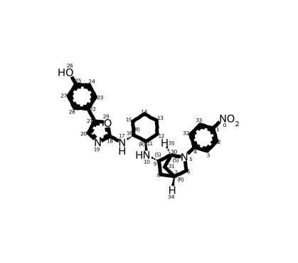 O=[N+]([O-])c1ccc(N2C[C@@H]3C[C@H](N[C@@H]4CCCC[C@H]4Nc4ncc(-c5ccc(O)cc5)o4)[C@@H]2C3)cc1